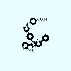 Nc1ncccc1-c1nc2ccc(-c3ccccc3)nc2n1-c1ccc([C@H]2CCN(C[C@H]3CC[C@H](C(=O)O)CC3)C2)cc1